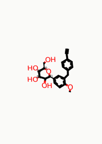 C#Cc1ccc(Cc2cc([C@@H]3O[C@H](CO)[C@@H](O)[C@H](O)C3O)ccc2OC)cc1